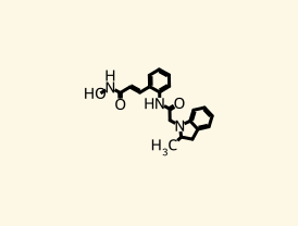 CC1Cc2ccccc2N1CC(=O)Nc1ccccc1C=CC(=O)NO